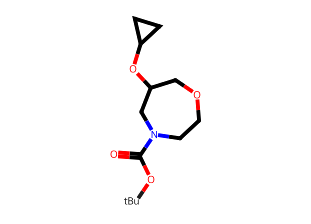 CC(C)(C)OC(=O)N1CCOCC(OC2CC2)C1